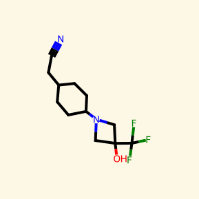 N#CCC1CCC(N2CC(O)(C(F)(F)F)C2)CC1